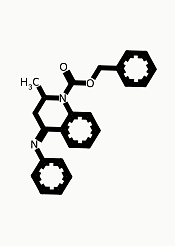 CC1C/C(=N/c2ccccc2)c2ccccc2N1C(=O)OCc1ccccc1